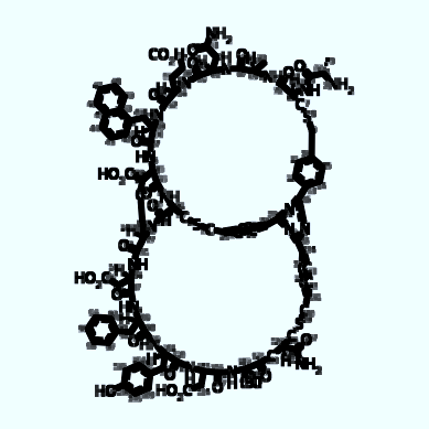 C[C@H](N)C(=O)N[C@H]1CSCc2ccc(cc2)-c2nc3nc(n2)-c2ccc(cc2)CSC[C@H]2NC(=O)[C@H](NC(=O)[C@H](Cc4cccc5ccccc45)NC(=O)[C@H](CCC(=O)O)NC(=O)[C@H](CC(N)=O)NC(=O)[C@@H](C)NC1=O)C(C(=O)O)C[C@H](NC2=O)C(=O)N[C@@H](CC(=O)O)C(=O)N[C@@H](Cc1ccccc1)C(=O)N[C@@H](Cc1ccc(O)cc1)C(=O)NC(CC(=O)O)C(=O)N[C@@H](C(C)(C)C)C(=O)C[C@H](C(N)=O)CSCc1ccc-3cc1